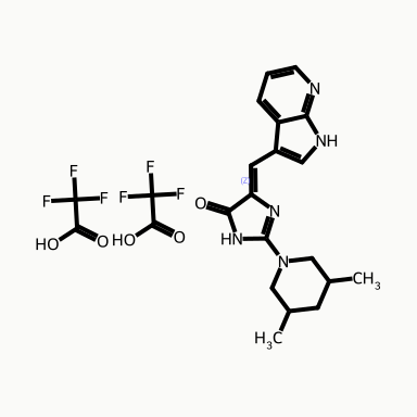 CC1CC(C)CN(C2=N/C(=C\c3c[nH]c4ncccc34)C(=O)N2)C1.O=C(O)C(F)(F)F.O=C(O)C(F)(F)F